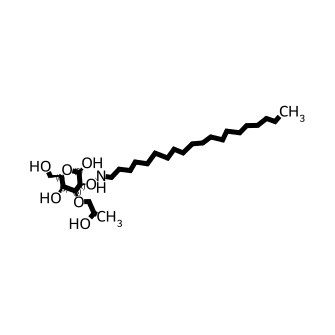 CCCCCCCCCCCCCCCCCCCCNO[C@@H]1[C@@H](OCC(C)O)[C@@H](O)[C@@H](CO)O[C@H]1O